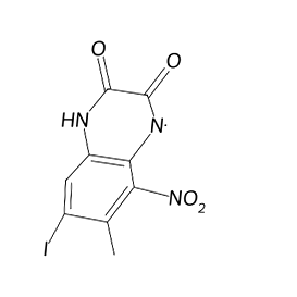 Cc1c(I)cc2c(c1[N+](=O)[O-])[N]C(=O)C(=O)N2